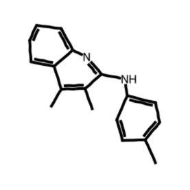 Cc1ccc(Nc2nc3ccccc3c(C)c2C)cc1